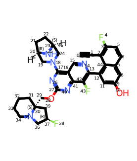 C#Cc1c(F)ccc2cc(O)cc(-c3ncc4c(N5C[C@H]6CC[C@@H](C5)N6)nc(OC[C@@]56CCCCN5C[C@H](F)C6)nc4c3F)c12